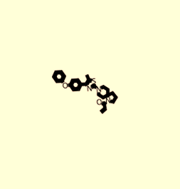 C=CC(=O)N1CCCC12CCN(c1nc(-c3ccc(Oc4ccccc4)cc3)c(C)s1)CC2